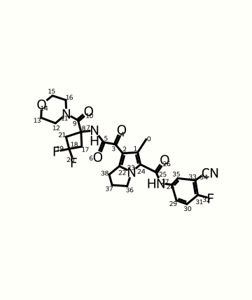 Cc1c(C(=O)C(=O)NC2(C(=O)N3CCOCC3)CC(F)(F)C2)c2n(c1C(=O)Nc1ccc(F)c(C#N)c1)CCC2